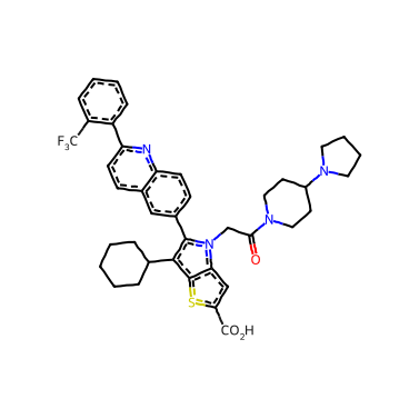 O=C(O)c1cc2c(s1)c(C1CCCCC1)c(-c1ccc3nc(-c4ccccc4C(F)(F)F)ccc3c1)n2CC(=O)N1CCC(N2CCCC2)CC1